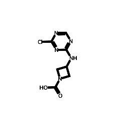 O=C(O)N1CC(Nc2ncnc(Cl)n2)C1